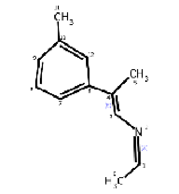 C/C=N\C=C(/C)c1cccc(C)c1